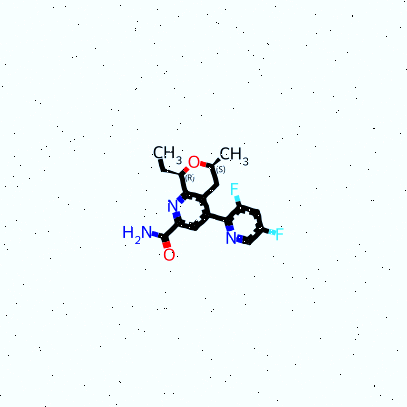 CC[C@H]1O[C@@H](C)Cc2c(-c3ncc(F)cc3F)cc(C(N)=O)nc21